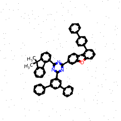 CC1(C)c2ccccc2-c2c(-c3nc(-c4cc(-c5ccccc5)cc(-c5ccccc5)c4)nc(-c4ccc5c(c4)oc4cccc(-c6ccc(-c7ccccc7)cc6)c45)n3)cccc21